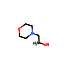 O[SiH2]CN1CCOCC1